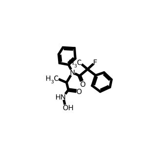 CC(C(=O)NO)N(C(=O)C(C)(F)c1ccccc1)c1ccccc1